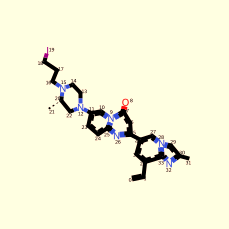 C=Cc1cc(-c2cc(=O)n3cc(N4CCN(CCCI)[C@@H](C)C4)ccc3n2)cn2cc(C)nc12